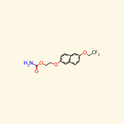 NC(=O)OCCOc1ccc2cc(OCC(F)(F)F)ccc2c1